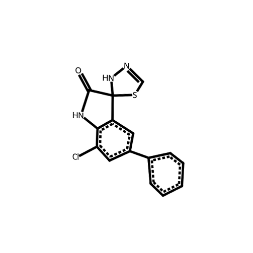 O=C1Nc2c(Cl)cc(-c3ccccc3)cc2C12NN=CS2